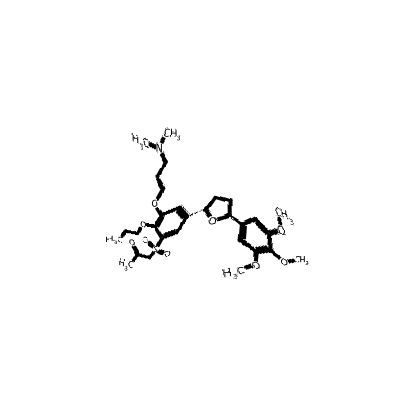 CCCOc1c(OCCCN(C)C)cc([C@@H]2CC[C@@H](c3cc(OC)c(OC)c(OC)c3)O2)cc1S(=O)(=O)CC(C)=O